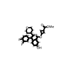 COC(=O)C1CC(Oc2nc(C3CCOCC3)c(-c3ccc(F)c(F)c3)c3ccc(O)cc23)C1